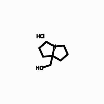 Cl.OCC12CCCN1CCC2